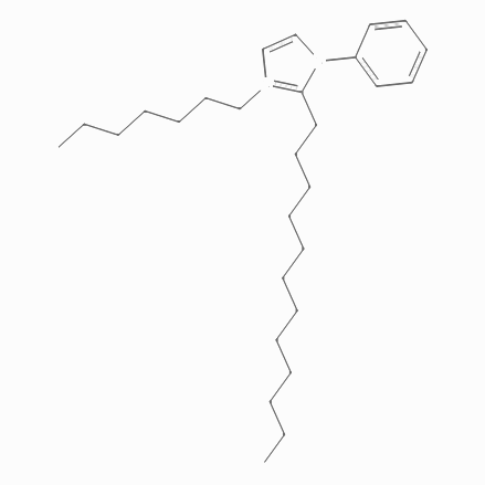 CCCCCCCCCCCCc1n(-c2ccccc2)cc[n+]1CCCCCCC